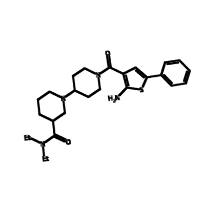 CCN(CC)C(=O)C1CCCN(C2CCN(C(=O)c3cc(-c4ccccc4)sc3N)CC2)C1